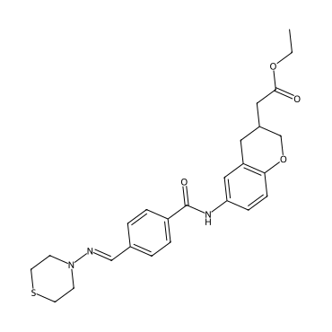 CCOC(=O)CC1COc2ccc(NC(=O)c3ccc(C=NN4CCSCC4)cc3)cc2C1